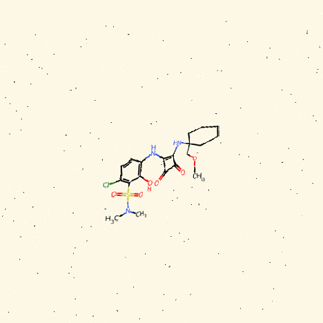 COCC1(Nc2c(Nc3ccc(Cl)c(S(=O)(=O)N(C)C)c3O)c(=O)c2=O)CCCCC1